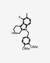 COc1ccc(Cn2c3c(c4c(F)c(C)ccc42)CCNC3)cc1OC